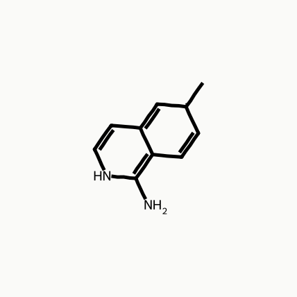 C[C]1C=CC2=C(N)NC=CC2=C1